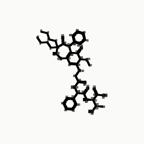 CCCCC1(CCCC)NSC2=C(C(=O)C(SC)C(OCC(=O)NC(C(=O)N[C@@H](C(=O)O)[C@@H](C)O)c3ccccc3)=C2)N(c2ccccc2)C1=O